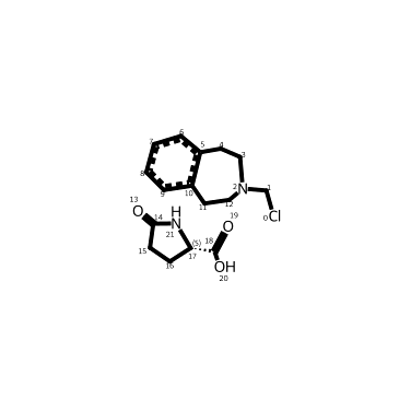 ClCN1CCc2ccccc2CC1.O=C1CC[C@@H](C(=O)O)N1